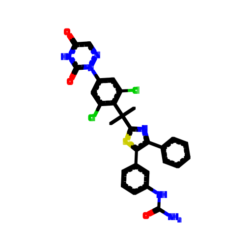 CC(C)(c1nc(-c2ccccc2)c(-c2cccc(NC(N)=O)c2)s1)c1c(Cl)cc(-n2ncc(=O)[nH]c2=O)cc1Cl